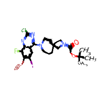 CC(C)(C)OC(=O)N1CC2(CCN(c3nc(Cl)nc4c(F)c(Br)c(I)cc34)CC2)C1